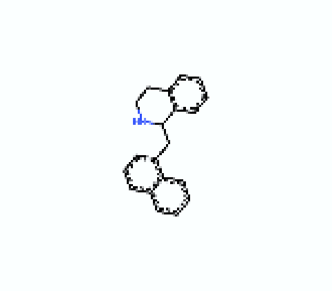 c1ccc2c(c1)CCNC2Cc1cccc2ccccc12